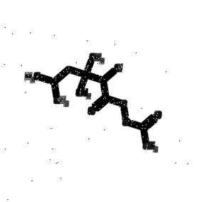 CC(=O)OOC(=O)C(Cl)C(C)(C)CC(C)C